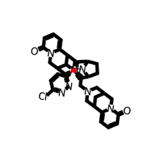 O=c1cccc2n1CC1CC2CN(CCN2CC3Cn4c(cccc4=O)C(C2)C3[N+]2(c3ccc(Cl)nn3)CC3CCC(C2)N3)C1